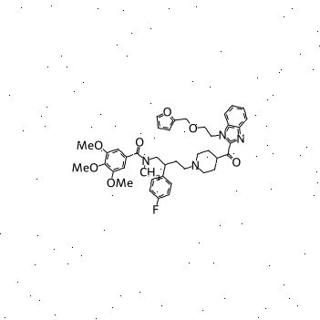 COc1cc(C(=O)N(C)CC(CCN2CCC(C(=O)c3nc4ccccc4n3CCOCc3ccco3)CC2)c2ccc(F)cc2)cc(OC)c1OC